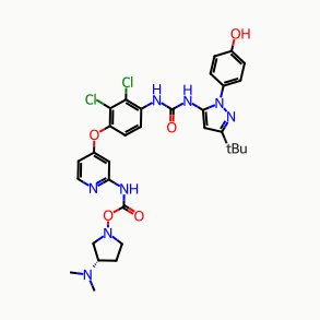 CN(C)[C@H]1CCN(OC(=O)Nc2cc(Oc3ccc(NC(=O)Nc4cc(C(C)(C)C)nn4-c4ccc(O)cc4)c(Cl)c3Cl)ccn2)C1